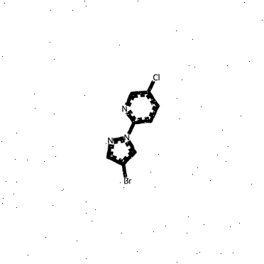 Clc1ccc(-n2cc(Br)cn2)nc1